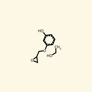 CCO.Oc1cccc(OCC2CO2)c1